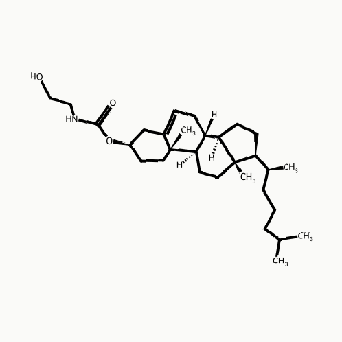 CC(C)CCC[C@H](C)[C@@H]1CC[C@@H]2[C@H]3CC=C4C[C@H](OC(=O)NCCO)CC[C@@]4(C)[C@@H]3CC[C@]21C